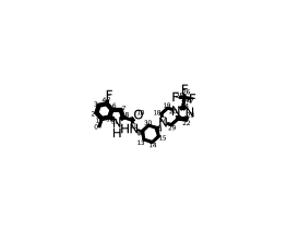 Cc1ccc(F)c2cc(C(=O)N[C@@H]3CCC[C@@H](N4CCn5c(cnc5C(F)(F)F)C4)C3)[nH]c12